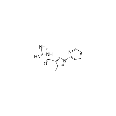 Cc1cn(-c2ccccn2)cc1C(=O)NC(=N)N